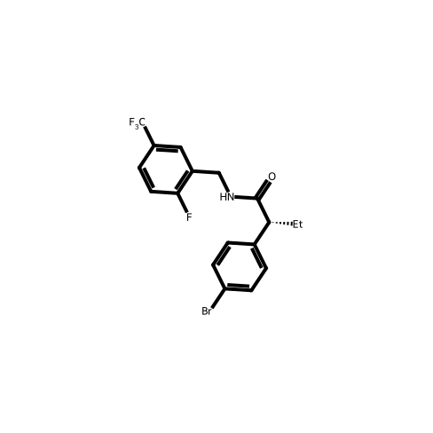 CC[C@@H](C(=O)NCc1cc(C(F)(F)F)ccc1F)c1ccc(Br)cc1